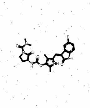 Cc1[nH]c(/C=C2\C(=O)Nc3ccc(F)cc32)c(C)c1OC(=O)N[C@H]1CCN(C(=O)N(C)C)C1=O